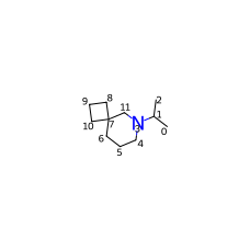 CC(C)N1CCCC2(CCC2)C1